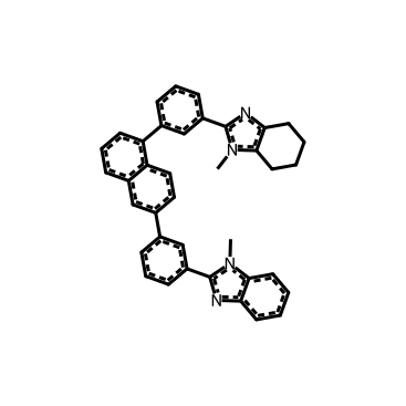 Cn1c(-c2cccc(-c3cccc4cc(-c5cccc(-c6nc7ccccc7n6C)c5)ccc34)c2)nc2c1CCCC2